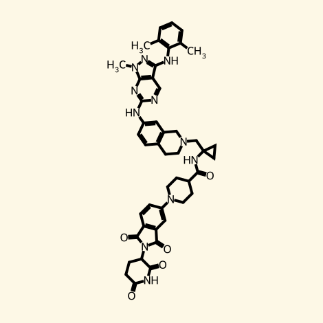 Cc1cccc(C)c1Nc1nn(C)c2nc(Nc3ccc4c(c3)CN(CC3(NC(=O)C5CCN(c6ccc7c(c6)C(=O)N(C6CCC(=O)NC6=O)C7=O)CC5)CC3)CC4)ncc12